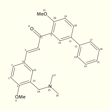 COc1ccc(/C=C/C(=O)c2cc(-c3ccccc3)ccc2OC)cc1CN(C)C